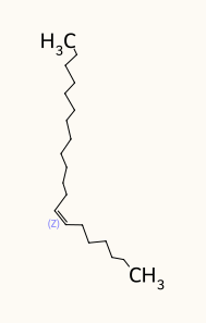 CCCCCC/C=C\CCCCCCCCCCCC